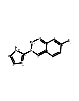 Brc1ccc2c(c1)=NNN(c1ncc[nH]1)C=2